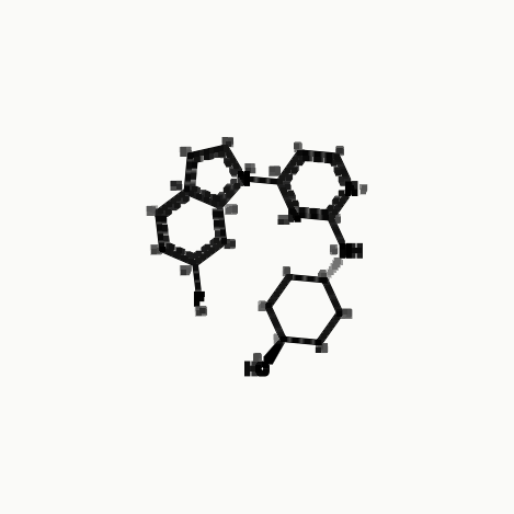 O[C@H]1CC[C@H](Nc2nccc(-n3ccc4ccc(F)cc43)n2)CC1